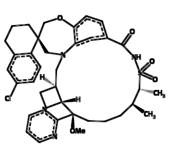 CO[C@]1(c2ncccn2)CCC[C@H](C)[C@@H](C)S(=O)(=O)NC(=O)c2ccc3c(c2)N(C[C@@H]2CC[C@H]21)C[C@@]1(CCCc2cc(Cl)ccc21)CO3